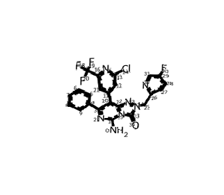 Nc1nc(-c2ccccc2)c(-c2cc(Cl)nc(C(F)(F)F)c2)c2nn(Cc3ccc(F)cn3)c(=O)n12